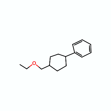 CCOCC1CCC(c2ccccc2)CC1